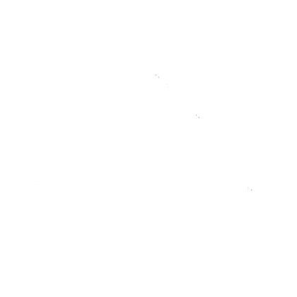 O=C1NCc2c(OS(=O)(=O)c3ccc(Br)cc3)ccc(-c3cc4cc(CN5CCCCC5)ccc4[nH]3)c21